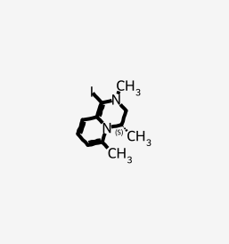 CC1=CC=CC2=C(I)N(C)C[C@H](C)N12